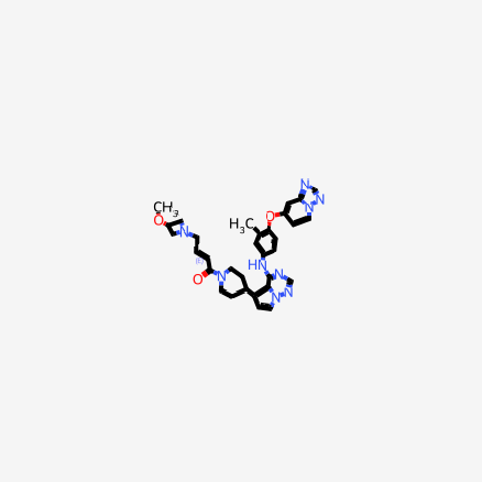 COC1CN(C/C=C/C(=O)N2CCC(c3ccn4ncnc(Nc5ccc(Oc6ccn7ncnc7c6)c(C)c5)c34)CC2)C1